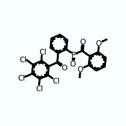 COc1cccc(OC)c1C(=O)[P](=O)c1ccccc1C(=O)c1c(Cl)c(Cl)c(Cl)c(Cl)c1Cl